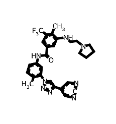 Cc1ccc(NC(=O)c2cc(NCCN3CCCC3)c(C)c(C(F)(F)F)c2)cc1-n1cc(-c2cncnc2)nn1